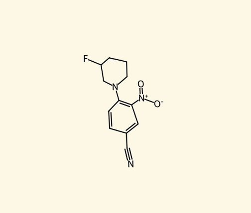 N#Cc1ccc(N2CCCC(F)C2)c([N+](=O)[O-])c1